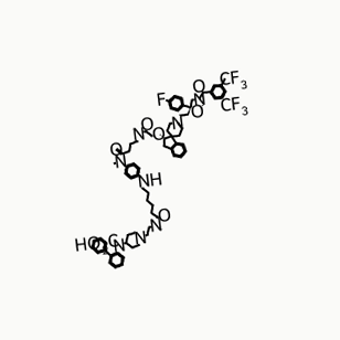 CN(CCN1CCC(N(C(=O)O)c2ccccc2-c2ccccc2)CC1)C(=O)CCCCCNc1ccc(N(C)C(=O)CCCN(C)C(=O)CO[C@H]2Cc3ccccc3C23CCN(CC[C@@]2(c4ccc(F)cc4)CN(C(=O)c4cc(C(F)(F)F)cc(C(F)(F)F)c4)CO2)CC3)cc1